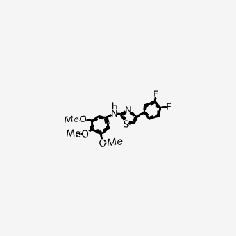 COc1cc(Nc2nc(-c3ccc(F)c(F)c3)cs2)cc(OC)c1OC